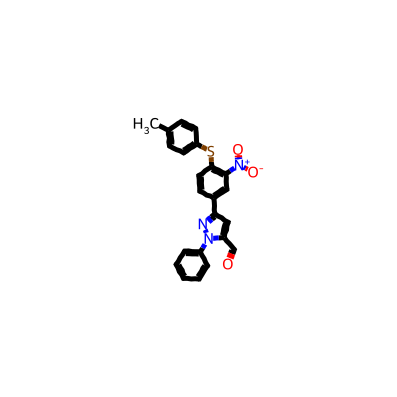 Cc1ccc(Sc2ccc(-c3cc(C=O)n(-c4ccccc4)n3)cc2[N+](=O)[O-])cc1